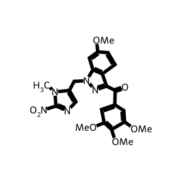 COc1ccc2c(C(=O)c3cc(OC)c(OC)c(OC)c3)nn(Cc3cnc([N+](=O)[O-])n3C)c2c1